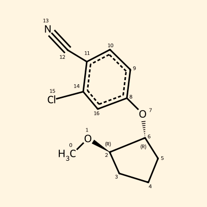 CO[C@@H]1CCC[C@H]1Oc1ccc(C#N)c(Cl)c1